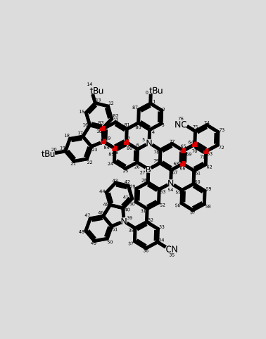 CC(C)(C)c1ccc(N2c3cc(-n4c5ccc(C(C)(C)C)cc5c5cc(C(C)(C)C)ccc54)ccc3B3c4ccc(-c5cc(C#N)ccc5-n5c6ccccc6c6ccccc65)cc4N(c4ccccc4-c4ccccc4)c4cc(-c5ccccc5C#N)cc2c43)c(-c2ccccc2)c1